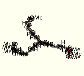 COC(=O)CC[C@H](NC(=O)N[C@@H](CCCCNC(=O)Cc1ccc(CCCCCC(=O)NCCCNC(=O)CCOCC(COCCC(=O)NCCCNC(=O)CCCCCc2ccc(CC(=O)NCCCC[C@H](NC(=O)N[C@@H](CCC(=O)OC)C(=O)OC)C(=O)OC)cc2)(COCCC(=O)NCCCNC(=O)CCCCCc2ccc(CC(=O)NCCCC[C@H](C)C(=O)OC)cc2)NC(C)=O)cc1)C(=O)OC)C(=O)OC